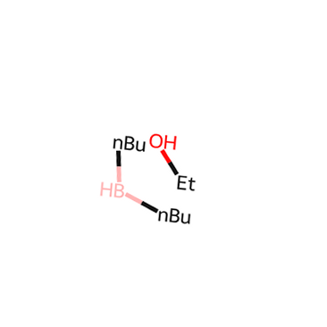 CCCCBCCCC.CCO